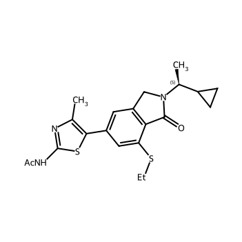 CCSc1cc(-c2sc(NC(C)=O)nc2C)cc2c1C(=O)N([C@@H](C)C1CC1)C2